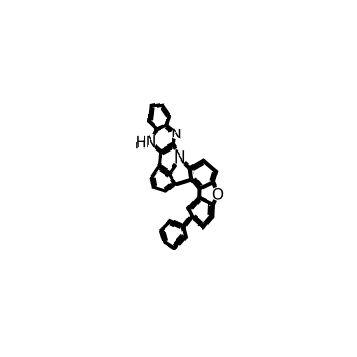 C1=CC2=Nc3c(c4cccc5c6c7c(ccc6n3c45)oc3ccc(-c4ccccc4)cc37)NC2C=C1